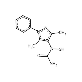 Cc1nn(-c2ccccc2)c(C)c1N(S)C(N)=O